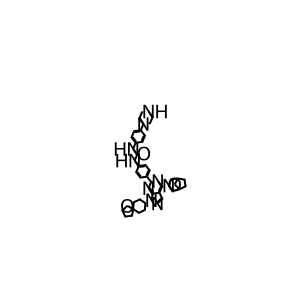 O=C(Nc1ccc(-c2nc(N3CC4CCC(C3)O4)c3cnn(C4CCC5(CCCO5)CC4)c3n2)cc1)Nc1ccc(N2CCNCC2)cc1